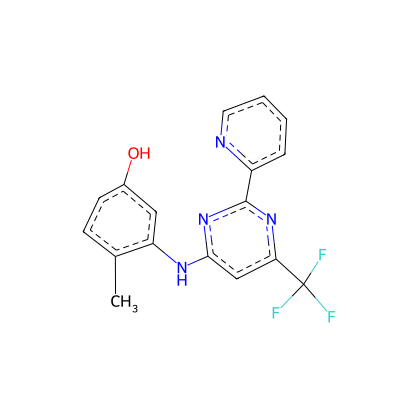 Cc1ccc(O)cc1Nc1cc(C(F)(F)F)nc(-c2ccccn2)n1